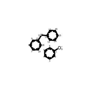 [O-]c1ccccc1.c1ccc([I+]c2ccccc2)cc1